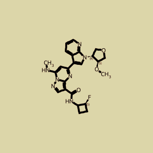 CNc1cc(-c2cn([C@@H]3COC[C@H]3OC)c3ncccc23)nc2c(C(=O)NC3CC[C@@H]3F)cnn12